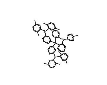 Cc1ccc(N2c3ccccc3C(c3cccc(N(c4cc(C)ccc4C)c4cc(C)ccc4C)c3)(c3cccc(N(c4cc(C)ccc4C)c4cc(C)ccc4C)c3)c3ccccc32)cc1